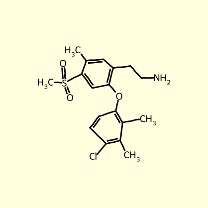 Cc1cc(CCN)c(Oc2ccc(Cl)c(C)c2C)cc1S(C)(=O)=O